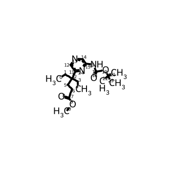 CCC(CC)(CCC(=O)OC)c1cncc(NC(=O)OC(C)(C)C)n1